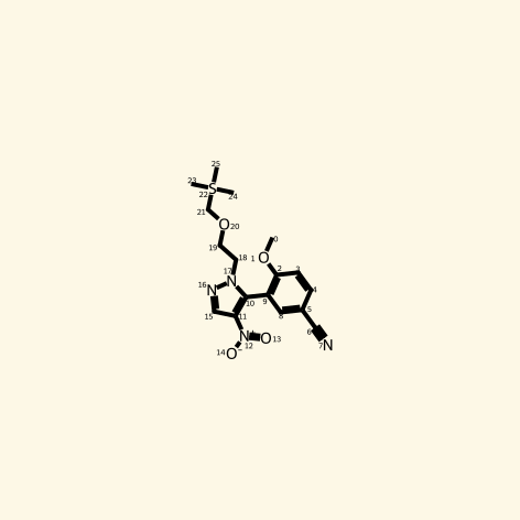 COc1ccc(C#N)cc1-c1c([N+](=O)[O-])cnn1CCOCS(C)(C)C